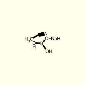 CC#N.OB(O)O.[NaH]